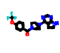 O=C(c1ccc(OC(F)(F)F)cc1)N1CC2CC1CN2c1ncnc2[nH]ccc12